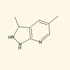 Cc1cnc2c(c1)C(C)NN2